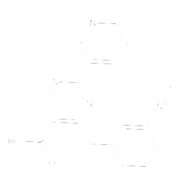 [C-]#[N+]c1cccc(Oc2nc(-c3cccnc3)ncc2C(=O)O)c1